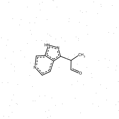 CC(C=O)c1n[nH]c2cnccc12